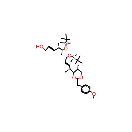 COc1ccc(CC2OC[C@H](C)C([C@@H](C)C=C[C@H](C[C@H](O[Si](C)(C)C(C)(C)C)[C@H](C)C=CCO)O[Si](C)(C)C(C)(C)C)O2)cc1